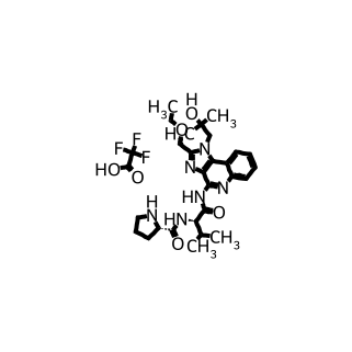 CCOCc1nc2c(NC(=O)[C@@H](NC(=O)[C@@H]3CCCN3)C(C)C)nc3ccccc3c2n1CC(C)(C)O.O=C(O)C(F)(F)F